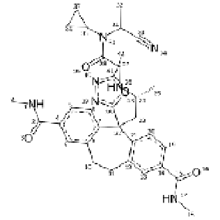 CNC(=O)c1ccc2c(c1)CCc1cc(C(=O)NC)ccc1C2(C[C@@H](C)NCC(=O)N(C(C)C#N)C1CC1)c1nnc(C)o1